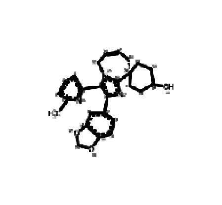 Cc1cccc(-c2c(-c3ccc4c(c3)OCO4)nc3n2CC=CC[C@]32CC[C@H](O)CC2)n1